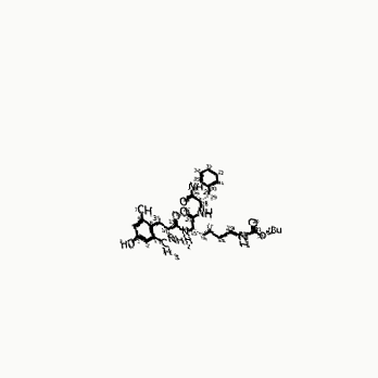 Cc1cc(O)cc(C)c1C[C@@H](N)C(=O)N[C@@H](CCCCNC(=O)OC(C)(C)C)C(=O)N[C@@H](Cc1ccccc1)C(N)=O